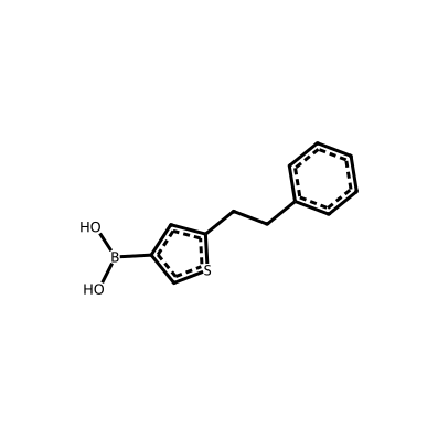 OB(O)c1csc(CCc2ccccc2)c1